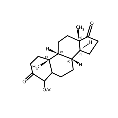 CC(=O)OC1C(=O)CC[C@@]2(C)C1CC[C@@H]1[C@H]2CC[C@]2(C)C(=O)CC[C@@H]12